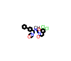 CN(C(=O)Cn1c(=O)ccc2cc(Cl)c(Cl)cc21)C(CN1CCOCC1)c1ccc(-c2ccccc2)cc1